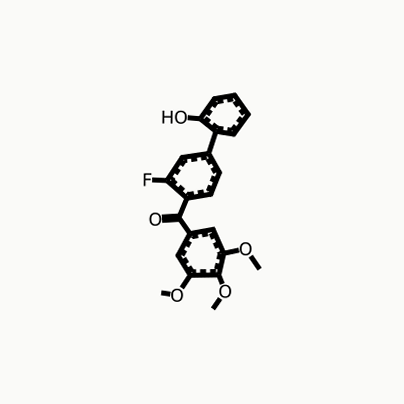 COc1cc(C(=O)c2ccc(-c3ccccc3O)cc2F)cc(OC)c1OC